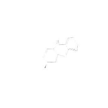 C[C@H]1C=CC2=C(C1)Oc1ccccc1S2(=O)=O